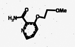 COCCOc1cccnc1C(N)=O